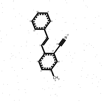 Cc1ccc(C=Cc2ccccc2)c(C#N)c1